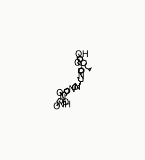 O=C[C@@]1(c2ccc(N3CCC(CN4CCN(c5ccc6c(c5)CN([C@H]5CCC(=O)NC5=O)C6=O)CC4)CC3)cc2)C(CC2CC2)=CCc2cc(O)ccc21